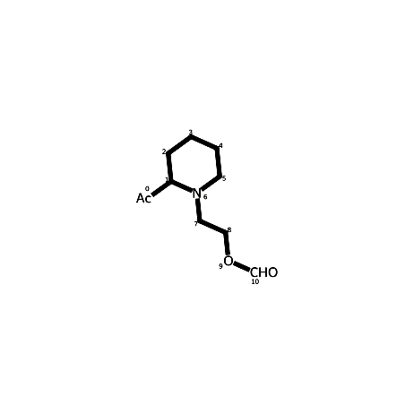 CC(=O)C1CCCCN1CCOC=O